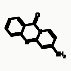 Bc1ccn2c(=O)c3ccccc3nc2c1